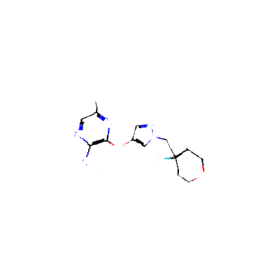 Nc1ncc(Br)nc1Oc1cnn(CC2(F)CCOCC2)c1